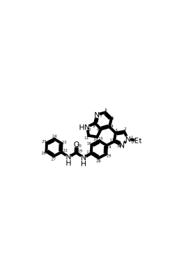 CCn1cc(-c2ccnc3c2CCN3)c(-c2ccc(NC(=O)Nc3ccccc3)cc2)n1